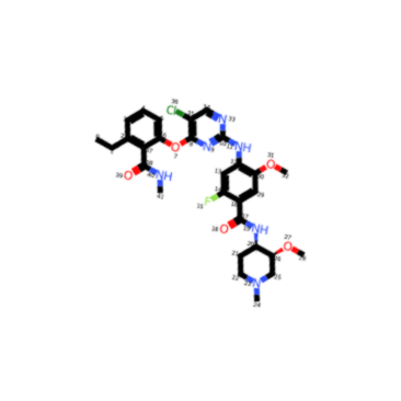 CCc1cccc(Oc2nc(Nc3cc(F)c(C(=O)N[C@@H]4CCN(C)C[C@@H]4OC)cc3OC)ncc2Cl)c1C(=O)NC